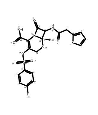 O=C(Cc1cccs1)NC1C(=O)N2C(C(=O)O)=C(OS(=O)(=O)c3ccc(F)cc3)CS[C@@H]12